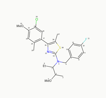 CCC(C(C)OC)N(Cc1ccc(F)cc1)c1nc(-c2cc(Cl)c(OC)cc2C)c(C)s1